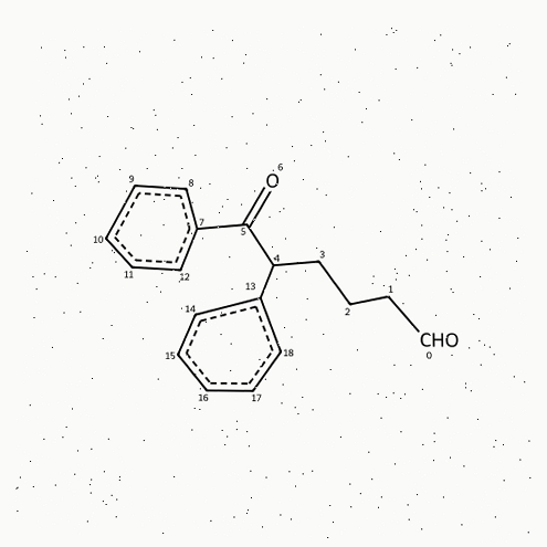 O=CCCCC(C(=O)c1ccccc1)c1ccccc1